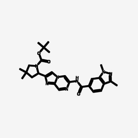 Cc1nn(C)c2cc(C(=O)Nc3cn4cc(C5CC(C)(C)CN5C(=O)OC(C)(C)C)nc4cn3)ccc12